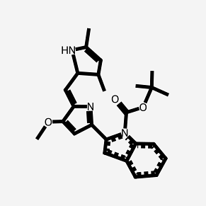 COC1=CC(c2cc3ccccc3n2C(=O)OC(C)(C)C)=N/C1=C\C1NC(C)=CC1C